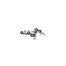 Cc1ccc(-c2ccnc3[nH]c(-c4n[nH]c5ccc(-c6cncc(CNCC7CCCC7)c6)cc45)cc23)s1